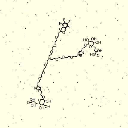 O=C(CCOCCOCCOCCN(CCOCCOCCOCCn1cc(CCO[C@@H]2O[C@H](CCP(=O)(O)O)[C@@H](O)[C@H](O)[C@@H]2O)nn1)CCOCCOCCOCCn1cc(CCO[C@H]2O[C@H](CCP(=O)(O)O)[C@@H](O)[C@H](O)[C@@H]2O)nn1)Oc1c(F)c(F)c(F)c(F)c1F